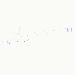 NCCCCCCCCCC(CCN)(C(F)(F)F)C(F)(F)F